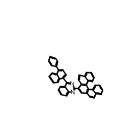 c1ccc(-c2ccc(-c3nc(-c4cc5ccc6ccccc6c5c5c4ccc4ccccc45)nc4ccccc34)c3ccccc23)cc1